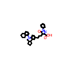 O=C(O)C1=NN(c2ccccc2)C(=O)/C1=C\C=C\c1ccc2c(c1)C1CCCC1CN2c1cccc2c1CCCC2